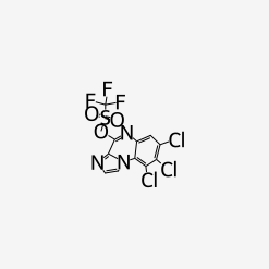 O=S(=O)(Oc1nc2cc(Cl)c(Cl)c(Cl)c2n2ccnc12)C(F)(F)F